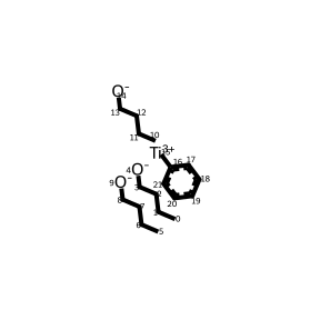 CCCC[O-].CCCC[O-].CCCC[O-].[Ti+3][c]1ccccc1